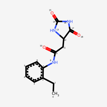 CCc1ccccc1NC(=O)CC1NC(=O)NC1=O